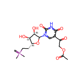 C=P(C)(C)CC[C@H]1OC(n2cc(C(=O)COC(C)=O)c(=O)[nH]c2=O)[C@H](O)[C@@H]1O